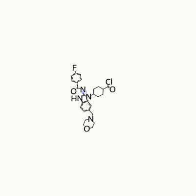 O=C(/N=c1\[nH]c2ccc(CN3CCOCC3)cc2n1C1CCC(C(=O)Cl)CC1)c1ccc(F)cc1